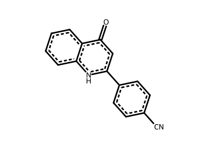 N#Cc1ccc(-c2cc(=O)c3ccccc3[nH]2)cc1